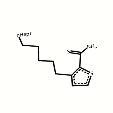 CCCCCCCCCCCCc1ccsc1C(N)=S